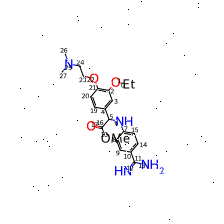 CCOc1cc(C(Nc2ccc(C(=N)N)cc2)C(=O)OC)ccc1OCCN(C)C